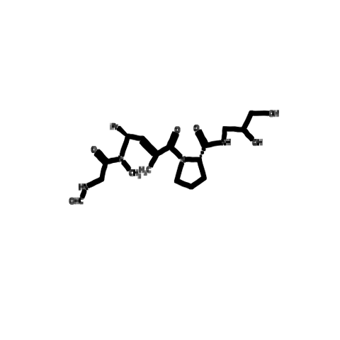 C/C(=C\[C@H](C(C)C)N(C)C(=O)CNC=O)C(=O)N1CCC[C@H]1C(=O)NCC(O)CO